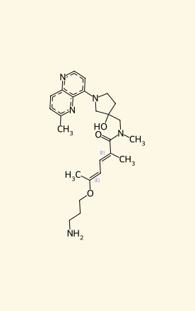 C/C(=C\C=C(/C)C(=O)N(C)CC1(O)CCN(c2ccnc3ccc(C)nc23)C1)OCCCN